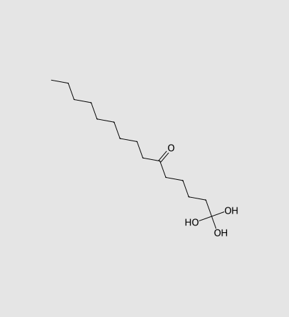 CCCCCCCCCC(=O)CCCCC(O)(O)O